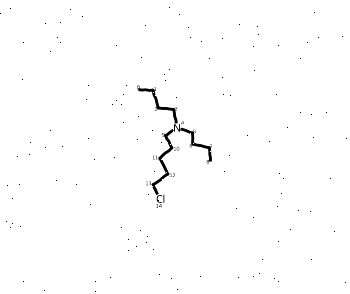 CCCCN(CCCC)CCCCCCl